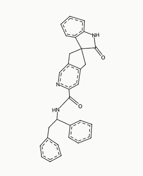 O=C(NC(Cc1ccccc1)c1ccccc1)c1cc2c(cn1)CC1(C2)C(=O)Nc2ccccc21